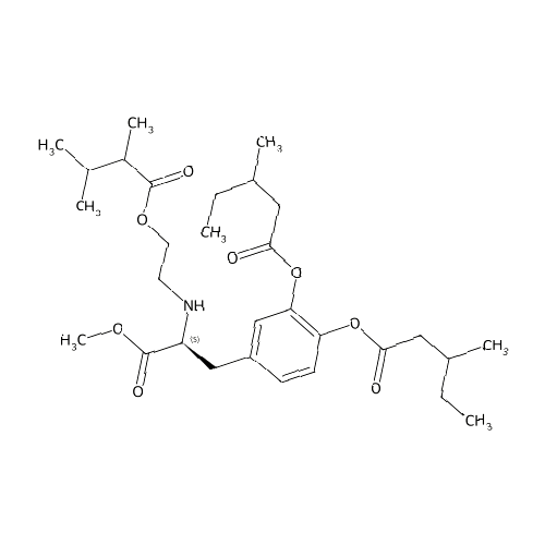 CCC(C)CC(=O)Oc1ccc(C[C@H](NCCOC(=O)C(C)C(C)C)C(=O)OC)cc1OC(=O)CC(C)CC